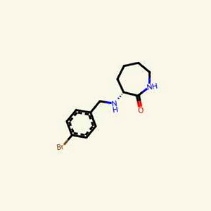 O=C1NCCCC[C@H]1NCc1ccc(Br)cc1